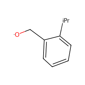 CC(C)c1ccccc1C[O]